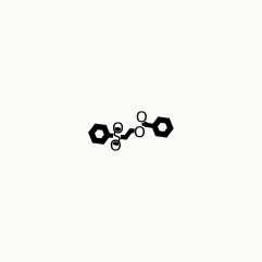 O=C(OCCS(=O)(=O)c1ccccc1)c1ccccc1